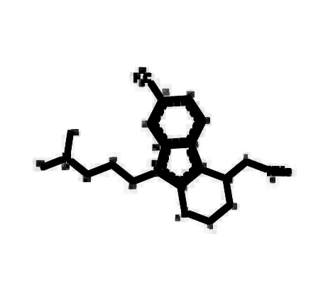 CNCC1CCSc2c1c1ccc(C(F)(F)F)cc1n2CCCN(C)C